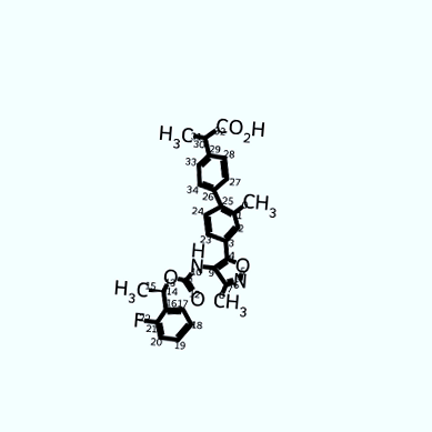 Cc1cc(-c2onc(C)c2NC(=O)O[C@H](C)c2ccccc2F)ccc1-c1ccc(C(C)C(=O)O)cc1